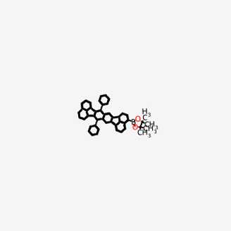 CC1(C)OB(c2ccc3c4cc5c(-c6ccccc6)c6c7cccc8cccc(c6c(-c6ccccc6)c5cc4c4cccc2c43)c87)OC1(C)C